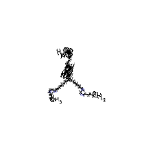 CCCCC/C=C\C/C=C\CCCCCCCCC1(CCCCCCCC/C=C\C/C=C\CCCCC)CC2(C1)O[C@H]1C[C@@H](CCCOP(=O)(O)OC)C[C@H]1O2